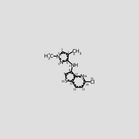 Cc1cn(C)nc1Nc1csc2ccc(Cl)nc12